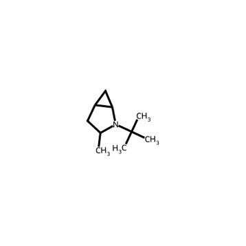 CC1CC2CC2N1C(C)(C)C